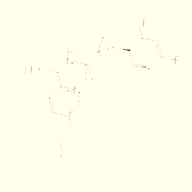 CC(NC(=O)[C@@H]1C[C@H]1c1ccc(F)cc1Cl)c1ccc(OCC(F)(F)F)cn1